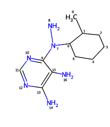 CC1CCCCC1N(N)c1ncnc(N)c1N